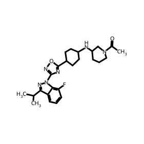 CC(=O)N1CCCC(NC2CCC(c3nc(-n4nc(C(C)C)c5cccc(F)c54)no3)CC2)C1